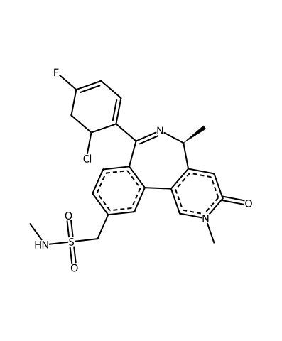 CNS(=O)(=O)Cc1ccc2c(c1)-c1cn(C)c(=O)cc1[C@H](C)N=C2C1=CC=C(F)CC1Cl